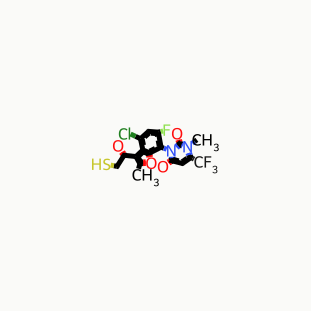 Cc1oc2c(-n3c(=O)cc(C(F)(F)F)n(C)c3=O)c(F)cc(Cl)c2c1C(=O)CS